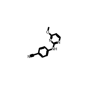 COc1ccnc(Nc2ccc(C#N)cc2)n1